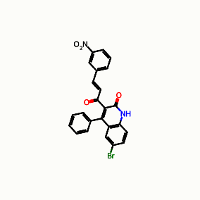 O=C(/C=C/c1cccc([N+](=O)[O-])c1)c1c(-c2ccccc2)c2cc(Br)ccc2[nH]c1=O